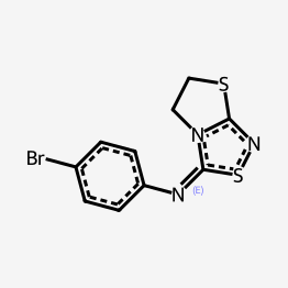 Brc1ccc(/N=c2/snc3n2CCS3)cc1